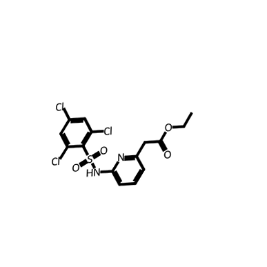 CCOC(=O)Cc1cccc(NS(=O)(=O)c2c(Cl)cc(Cl)cc2Cl)n1